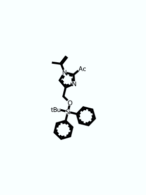 C=C(C)n1cc(CO[Si](c2ccccc2)(c2ccccc2)C(C)(C)C)nc1C(C)=O